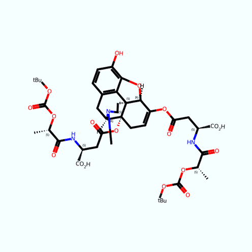 C[C@H](OC(=O)OC(C)(C)C)C(=O)N[C@@H](CC(=O)OC1=CC[C@@]2(OC(=O)C[C@H](NC(=O)[C@H](C)OC(=O)OC(C)(C)C)C(=O)O)[C@H]3Cc4ccc(O)c5c4[C@@]2(CCN3C)[C@H]1O5)C(=O)O